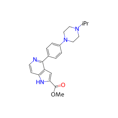 COC(=O)c1cc2c(-c3ccc(N4CCN(C(C)C)CC4)cc3)nccc2[nH]1